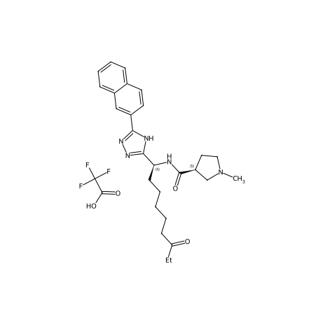 CCC(=O)CCCCC[C@H](NC(=O)[C@H]1CCN(C)C1)c1nnc(-c2ccc3ccccc3c2)[nH]1.O=C(O)C(F)(F)F